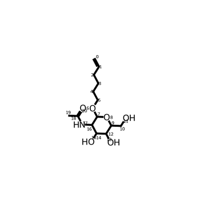 C=CCCCCOC1OC(CO)C(O)C(O)C1NC(C)=O